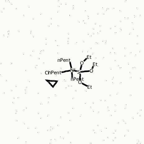 C1CC1.CCCCC[N+](CCCCC)(CCCCC)[Si](OCC)(OCC)OCC.[Cl-]